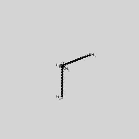 CCCCCCCCCCCCCCCCCCCCCCC(=O)C(CC)(CO)C(=O)CCCCCCCCCCCCCCCCCCCCCC